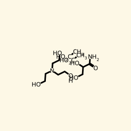 CC(=O)O.CC(=O)O.NC(=O)C(O)CO.OCCN(CCO)CCO